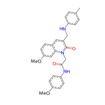 COc1ccc(NC(=O)Cn2c(=O)c(CNc3ccc(C)cc3)cc3ccc(OC)cc32)cc1